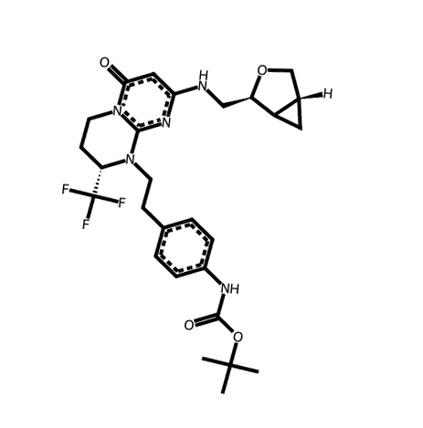 CC(C)(C)OC(=O)Nc1ccc(CCN2c3nc(NC[C@H]4OC[C@@H]5CC54)cc(=O)n3CC[C@H]2C(F)(F)F)cc1